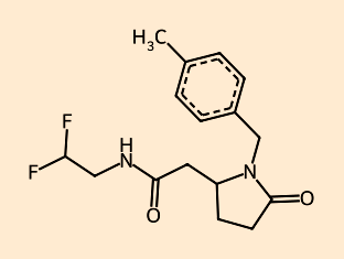 Cc1ccc(CN2C(=O)CCC2CC(=O)NCC(F)F)cc1